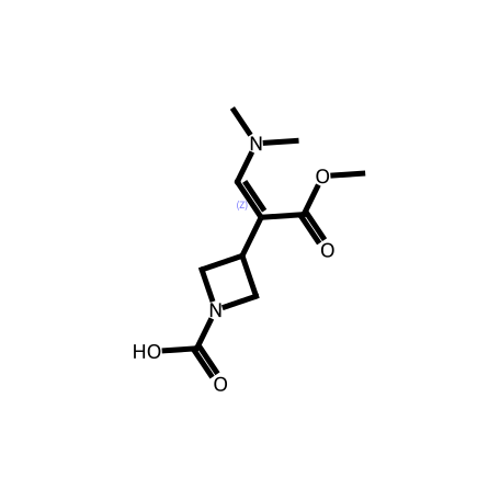 COC(=O)/C(=C\N(C)C)C1CN(C(=O)O)C1